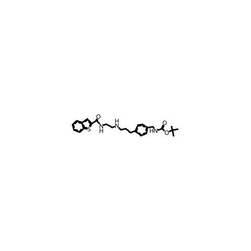 CC(C)(C)OC(=O)NCc1ccc(CCCNCCNC(=O)c2cc3ccccc3s2)cc1